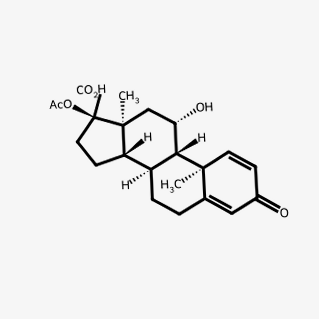 CC(=O)O[C@]1(C(=O)O)CC[C@H]2[C@@H]3CCC4=CC(=O)C=C[C@]4(C)[C@H]3[C@@H](O)C[C@@]21C